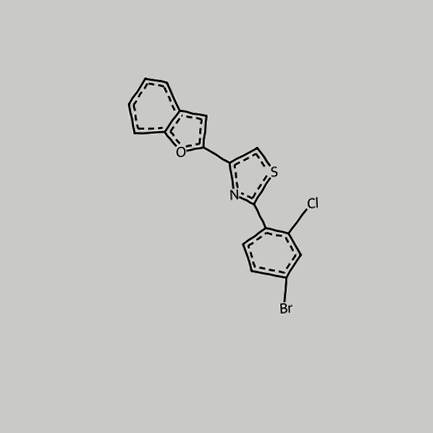 Clc1cc(Br)ccc1-c1nc(-c2cc3ccccc3o2)cs1